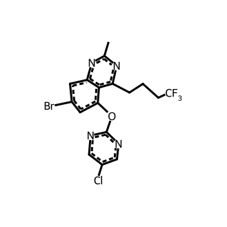 Cc1nc(CCCC(F)(F)F)c2c(Oc3ncc(Cl)cn3)cc(Br)cc2n1